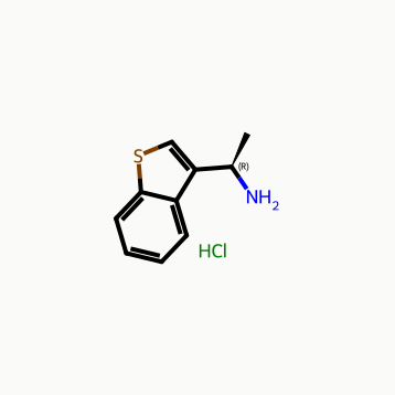 C[C@@H](N)c1csc2ccccc12.Cl